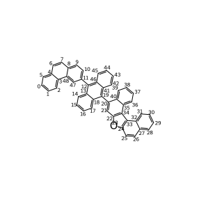 c1ccc2c(c1)ccc1ccc(-c3c4ccccc4c(-c4cc5oc6ccc7ccccc7c6c5c5ccccc45)c4ccccc34)cc12